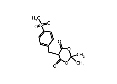 CC1(C)OC(=O)C(Cc2ccc(S(C)(=O)=O)cc2)C(=O)O1